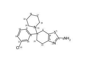 Nc1nc2c(s1)CC(c1cccc(Cl)c1)(N1CCCCC1)CC2